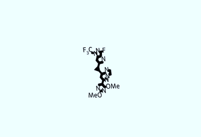 COc1ncc(-c2cc(C3CC3c3cnc4c(F)nn(CC(F)(F)F)c4c3)c3nccn3n2)c(OC)n1